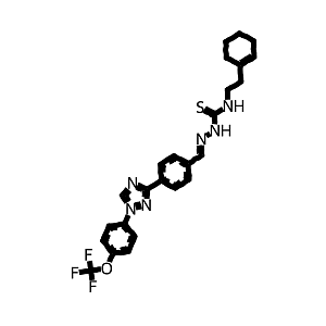 FC(F)(F)Oc1ccc(-n2cnc(-c3ccc(/C=N/NC(=S)NCCC4=CCCCC4)cc3)n2)cc1